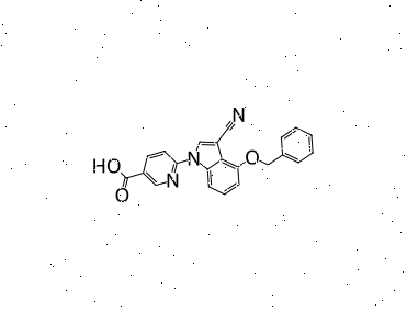 N#Cc1cn(-c2ccc(C(=O)O)cn2)c2cccc(OCc3ccccc3)c12